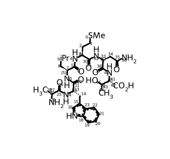 CSCC[C@H](NC(=O)[C@H](CC(C)C)NC(=O)[C@H](Cc1c[nH]c2ccccc12)NC(=O)[C@H](C)N)C(=O)N[C@@H](CC(N)=O)C(=O)N[C@H](C(=O)O)[C@@H](C)O